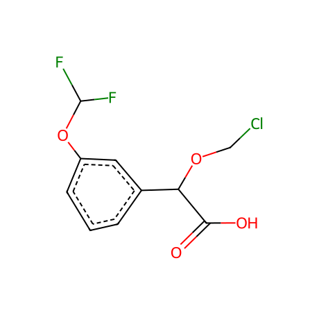 O=C(O)C(OCCl)c1cccc(OC(F)F)c1